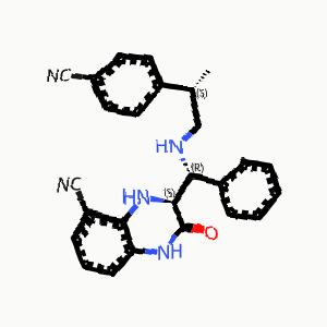 C[C@H](CN[C@H](c1ccccc1)[C@@H]1Nc2c(C#N)cccc2NC1=O)c1ccc(C#N)cc1